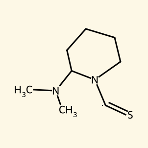 CN(C)C1CCCCN1[C]=S